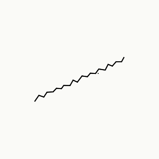 CCCCCCC[CH]CCCCCCCCCCCCCC